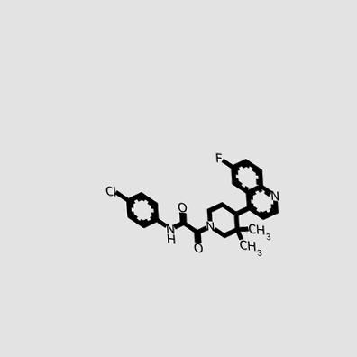 CC1(C)CN(C(=O)C(=O)Nc2ccc(Cl)cc2)CCC1c1ccnc2ccc(F)cc12